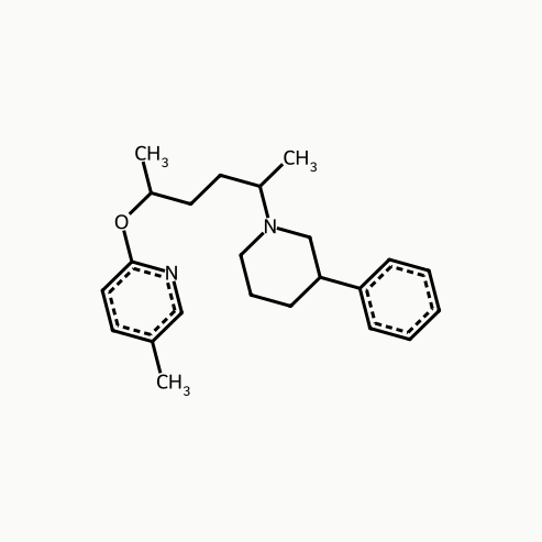 Cc1ccc(OC(C)CCC(C)N2CCCC(c3ccccc3)C2)nc1